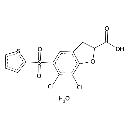 O.O=C(O)C1Cc2cc(S(=O)(=O)c3cccs3)c(Cl)c(Cl)c2O1